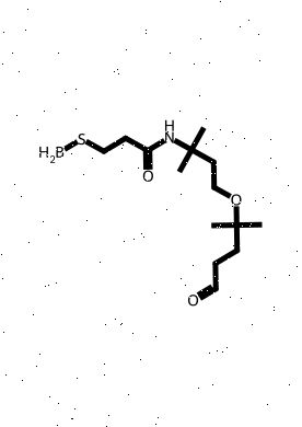 BSCCC(=O)NC(C)(C)CCOC(C)(C)CCC=O